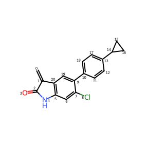 C=C1C(=O)Nc2cc(Cl)c(-c3ccc(C4CC4)cc3)cc21